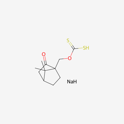 CC1(C)C2CCC1(COC(=S)S)C(=O)C2.[NaH]